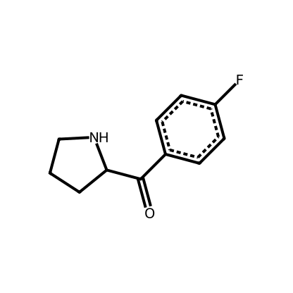 O=C(c1ccc(F)cc1)C1CCCN1